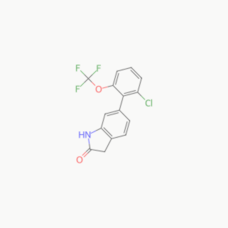 O=C1Cc2ccc(-c3c(Cl)cccc3OC(F)(F)F)cc2N1